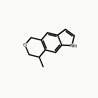 CC1COCc2cc3cc[nH]c3cc21